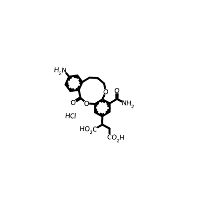 Cl.NC(=O)c1cc(C(CC(=O)O)C(=O)O)cc2c1OCCCc1cc(N)ccc1C(=O)O2